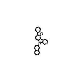 c1ccc2cc(-n3c4ccccc4c4c5oc6ccccc6c5ccc43)ccc2c1